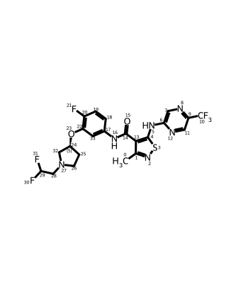 Cc1nsc(Nc2cnc(C(F)(F)F)cn2)c1C(=O)Nc1ccc(F)c(O[C@H]2CCN(CC(F)F)C2)c1